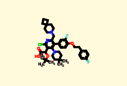 CC1(C)CCN(c2c(-c3ccc(OCCc4ccc(F)cc4)c(F)c3)c(CN3CCC4(CCC4)CC3)nc(Cl)c2C(OC(C)(C)C)C(=O)O)CC1